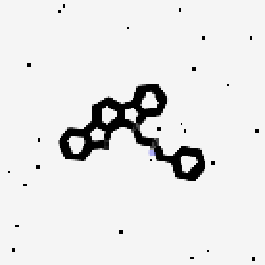 C(=N\Cn1c2ccccc2c2ccc3c4ccccc4sc3c21)/c1ccccc1